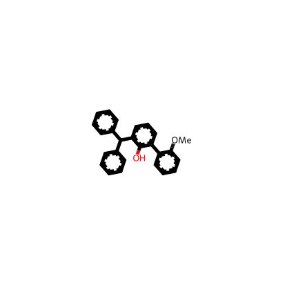 COc1ccccc1-c1cccc(C(c2ccccc2)c2ccccc2)c1O